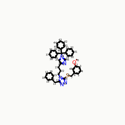 COc1cccc(CSc2nnc(Cc3ccccc3)n2CCCc2cn(C(c3ccccc3)(c3ccccc3)c3ccccc3)cn2)c1